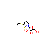 C/C=C\Sc1cccn(C2OC(CO)C(O)C2O)c1=S